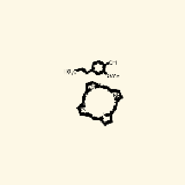 C1=Cc2cc3ccc(cc4nc(cc5ccc(cc1n2)[nH]5)C=C4)[nH]3.COc1cc(/C=C/C(=O)O)ccc1O